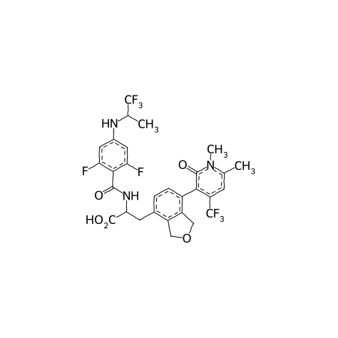 Cc1cc(C(F)(F)F)c(-c2ccc(CC(NC(=O)c3c(F)cc(NC(C)C(F)(F)F)cc3F)C(=O)O)c3c2COC3)c(=O)n1C